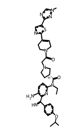 CCN(C(=O)[C@@H]1CCN(CC(=O)N2CC=C(c3ncc(-c4ncn(C)n4)s3)CC2)C1)c1ccc(N)c(C(=N)c2ccc(OC(C)C)cc2)n1